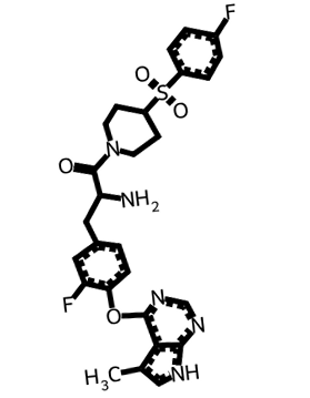 Cc1c[nH]c2ncnc(Oc3ccc(CC(N)C(=O)N4CCC(S(=O)(=O)c5ccc(F)cc5)CC4)cc3F)c12